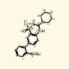 CC(=O)Nc1ccccc1-c1ccc2c(c1)S(=O)(=O)NC(C1CCCCC1)N2